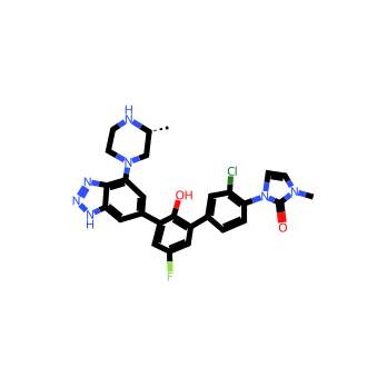 C[C@@H]1CN(c2cc(-c3cc(F)cc(-c4ccc(-n5ccn(C)c5=O)c(Cl)c4)c3O)cc3[nH]nnc23)CCN1